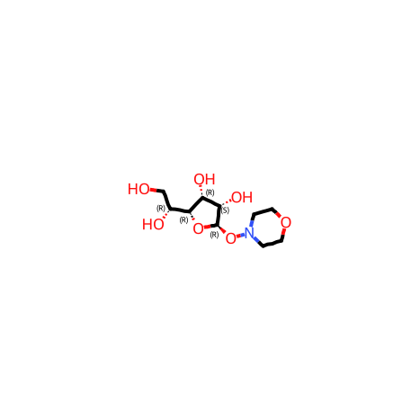 OC[C@@H](O)[C@H]1O[C@H](ON2CCOCC2)[C@@H](O)[C@H]1O